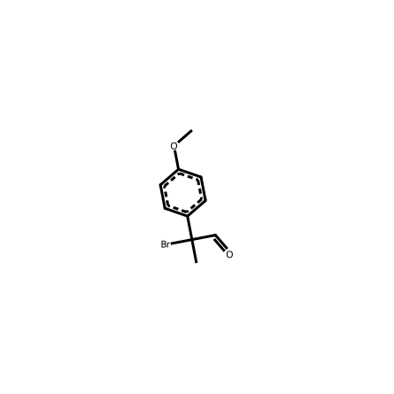 COc1ccc(C(C)(Br)C=O)cc1